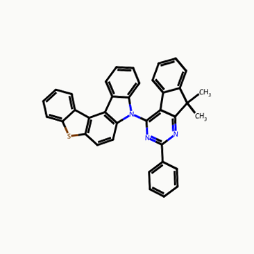 CC1(C)c2ccccc2-c2c(-n3c4ccccc4c4c5c(ccc43)sc3ccccc35)nc(-c3ccccc3)nc21